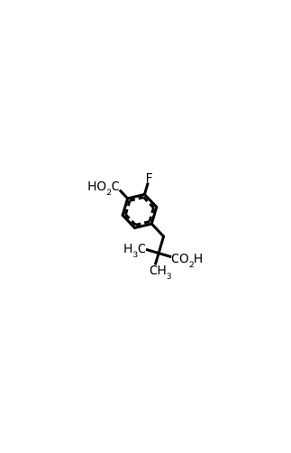 CC(C)(Cc1ccc(C(=O)O)c(F)c1)C(=O)O